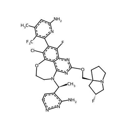 Cc1cc(N)nc(-c2c(Cl)c3c4c(nc(OC[C@@]56CCCN5C[C@H](F)C6)nc4c2F)N([C@@H](C)c2ccnnc2N)CCO3)c1C(F)(F)F